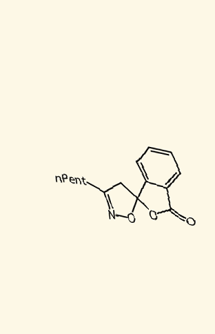 CCCCCC1=NOC2(C1)OC(=O)c1ccccc12